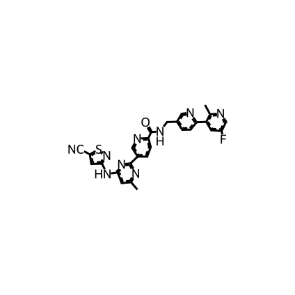 Cc1cc(Nc2cc(C#N)sn2)nc(-c2ccc(C(=O)NCc3ccc(-c4cc(F)cnc4C)nc3)nc2)n1